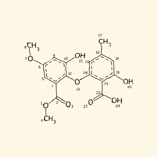 COC(=O)c1cc(OC)cc(O)c1Oc1cc(C)cc(O)c1C(=O)O